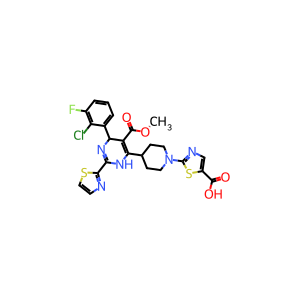 COC(=O)C1=C(C2CCN(c3ncc(C(=O)O)s3)CC2)NC(c2nccs2)=NC1c1cccc(F)c1Cl